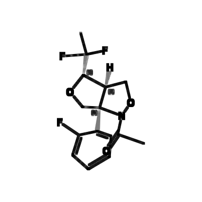 CC(=O)N1OC[C@@H]2[C@@H](C(C)(F)F)OC[C@@]21c1ccccc1F